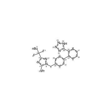 CCCCC(F)(F)c1nc(CCC)n(Cc2ccc(-c3ccccc3-c3nnn[nH]3)cc2)n1